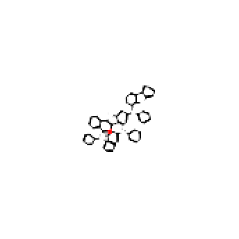 c1ccc(N(c2ccccc2)c2cc3c(sc4cc(N(c5ccccc5)c5cccc6c5sc5ccccc56)cc(N(c5ccccc5)c5ccccc5)c43)c3ccccc23)cc1